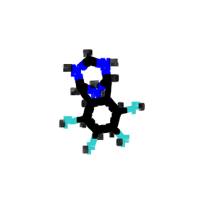 Fc1c(F)c(F)c2c(c1F)-c1ncnc-2n1